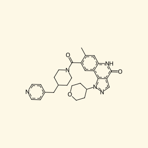 Cc1cc2[nH]c(=O)c3cnn(C4CCOCC4)c3c2cc1C(=O)N1CCC(Cc2ccncc2)CC1